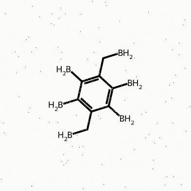 BCc1c(B)c(B)c(CB)c(B)c1B